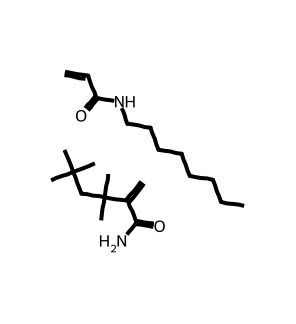 C=C(C(N)=O)C(C)(C)CC(C)(C)C.C=CC(=O)NCCCCCCCC